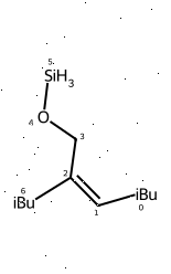 CCC(C)C=C(CO[SiH3])C(C)CC